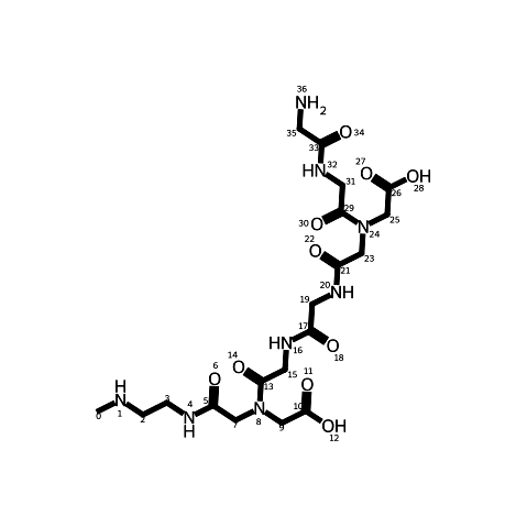 CNCCNC(=O)CN(CC(=O)O)C(=O)CNC(=O)CNC(=O)CN(CC(=O)O)C(=O)CNC(=O)CN